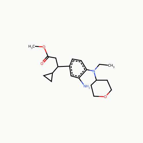 CCN(c1ccc(C(CC(=O)OC)C2CC2)cc1N)C1CCOCC1